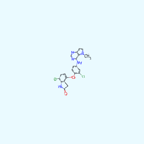 Cn1ccc2ncnc(Nc3ccc(Oc4ccc(Cl)c5c4CC(=O)N5)c(Cl)c3)c21